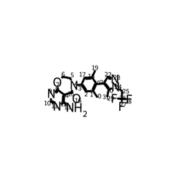 Cc1cc(N2CCOc3ncnc(N)c3C2=O)cc(C)c1-c1cnn(CC(F)(F)F)c1C